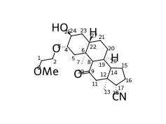 COCCO[C@H]1C[C@]2(C)C3C(=O)C[C@@]4(C)C(CC[C@@H]4C#N)[C@@H]3CC[C@H]2C[C@@H]1O